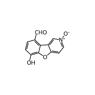 O=Cc1ccc(O)c2oc3cc[n+]([O-])cc3c12